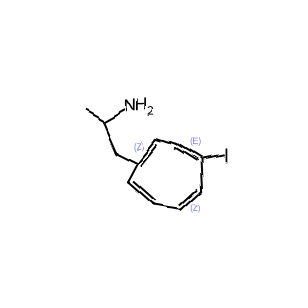 CC(N)C/C1=C/C=C(I)\C=C/C=C1